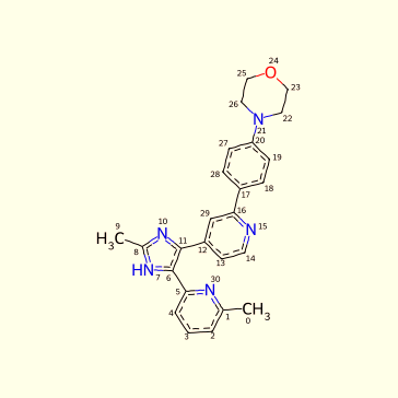 Cc1cccc(-c2[nH]c(C)nc2-c2ccnc(-c3ccc(N4CCOCC4)cc3)c2)n1